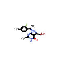 Cc1nc2c(c(CO)nn2[C@H](C)c2ccc(C(F)(F)F)cc2F)c(=O)[nH]1